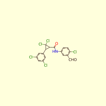 O=Cc1cc(NC(=O)C2C(c3cc(Cl)cc(Cl)c3)C2(Cl)Cl)ccc1Cl